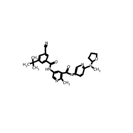 Cc1ncc(NC(=O)c2cc(C#N)cc(C(C)(C)C)c2)cc1C(=O)Nc1ccc(N(C)C2CCCO2)nc1